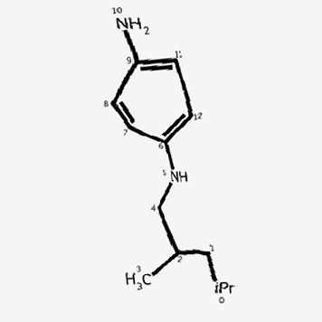 CC(C)CC(C)CNc1ccc(N)cc1